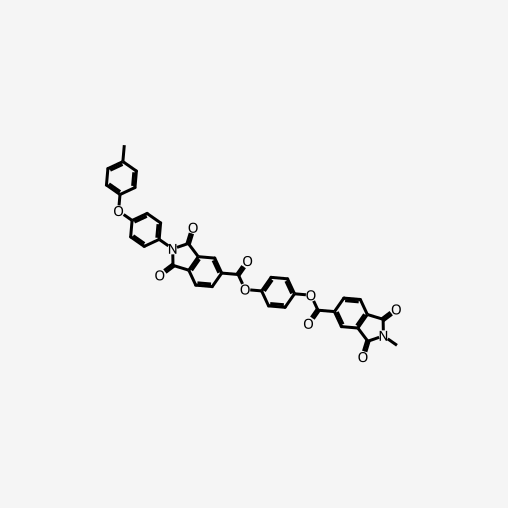 Cc1ccc(Oc2ccc(N3C(=O)c4ccc(C(=O)Oc5ccc(OC(=O)c6ccc7c(c6)C(=O)N(C)C7=O)cc5)cc4C3=O)cc2)cc1